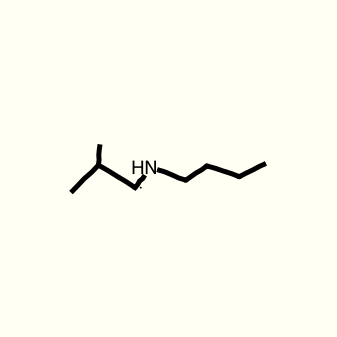 CCCCN[CH]C(C)C